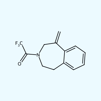 C=C1CN(C(=O)C(F)(F)F)CCc2ccccc21